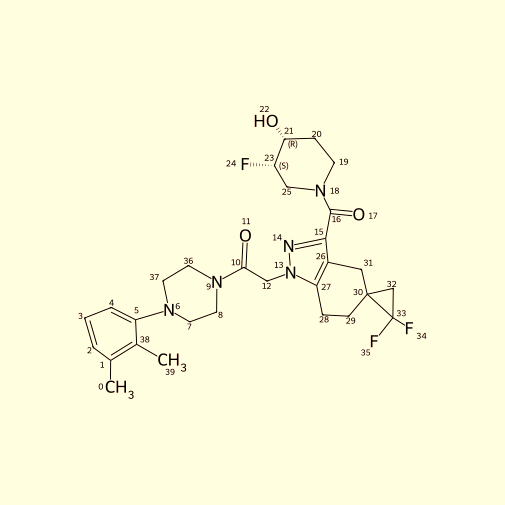 Cc1cccc(N2CCN(C(=O)Cn3nc(C(=O)N4CC[C@@H](O)[C@@H](F)C4)c4c3CCC3(C4)CC3(F)F)CC2)c1C